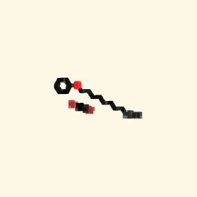 CCCCCCCCCCCCCCCCCCOc1ccccc1.[Br][Mg][Br]